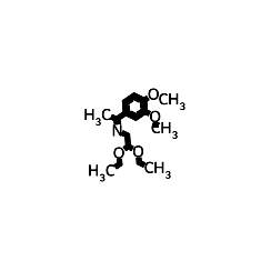 CCOC(C/N=C(/C)c1ccc(OC)c(OC)c1)OCC